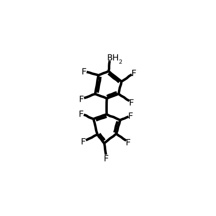 Bc1c(F)c(F)c(-c2c(F)c(F)c(F)c(F)c2F)c(F)c1F